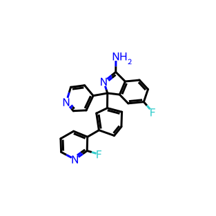 NC1=NC(c2ccncc2)(c2cccc(-c3cccnc3F)c2)c2cc(F)ccc21